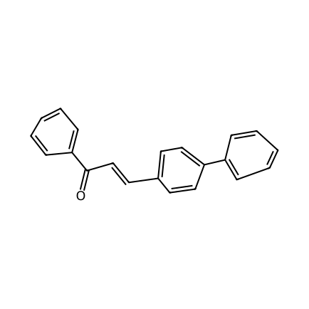 O=C(C=Cc1ccc(-c2ccccc2)cc1)c1ccccc1